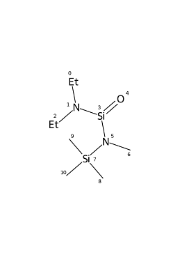 CCN(CC)[Si](=O)N(C)[Si](C)(C)C